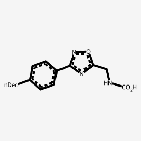 CCCCCCCCCCc1ccc(-c2noc(CNC(=O)O)n2)cc1